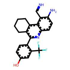 N=Cc1c(N)ccc2nc(-c3ccc(O)cc3C(F)(F)F)c3c(c12)CCCC3